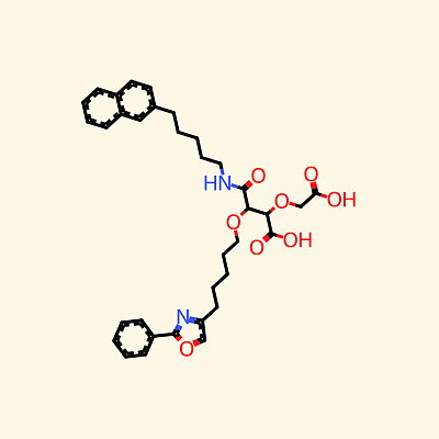 O=C(O)COC(C(=O)O)C(OCCCCCc1coc(-c2ccccc2)n1)C(=O)NCCCCCc1ccc2ccccc2c1